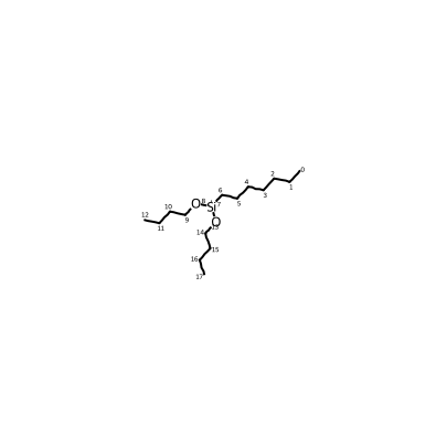 CCCCCCC[Si](OCCCC)OCCCC